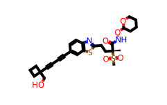 C[C@@](CCc1nc2ccc(C#CC#CC3(CO)CCC3)cc2s1)(C(=O)NOC1CCCCO1)S(C)(=O)=O